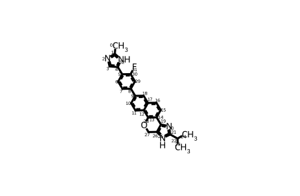 Cc1ncc(-c2ccc(-c3ccc4c5c(ccc4c3)-c3nc(C(C)C)[nH]c3CO5)cc2F)[nH]1